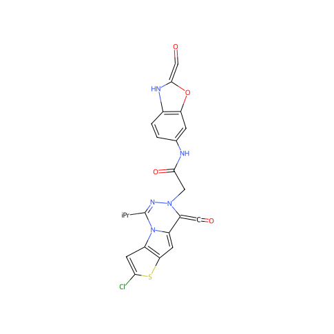 CC(C)C1=NN(CC(=O)Nc2ccc3c(c2)OC(=C=O)N3)C(=C=O)c2cc3sc(Cl)cc3n21